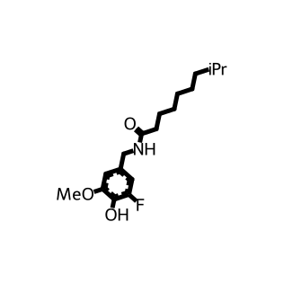 COc1cc(CNC(=O)CCCCCCC(C)C)cc(F)c1O